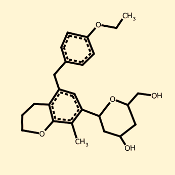 CCOc1ccc(Cc2cc(C3CC(O)CC(CO)O3)c(C)c3c2CCCO3)cc1